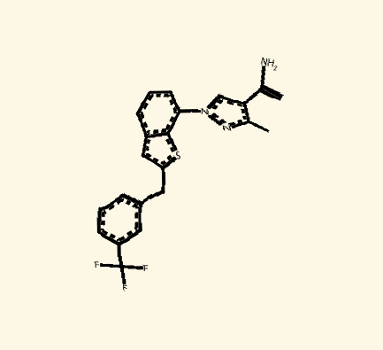 C=C(N)c1cn(-c2cccc3cc(Cc4cccc(C(F)(F)F)c4)sc23)nc1C